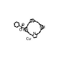 O=S(=O)(c1ccccc1)c1cc2cc3nc(cc4ccc(cc5nc(cc1[nH]2)C=C5)[nH]4)C=C3.[Cu]